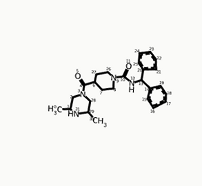 CC1CN(C(=O)C2CCN(C(=O)NC(c3ccccc3)c3ccccc3)CC2)CC(C)N1